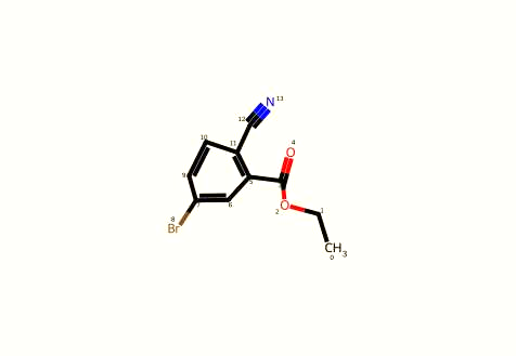 CCOC(=O)c1cc(Br)ccc1C#N